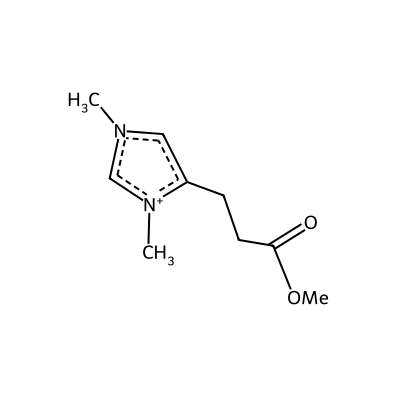 COC(=O)CCc1cn(C)c[n+]1C